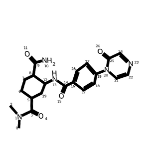 CN(C)C(=O)C1CCC(C(N)=O)C(NC(=O)c2ccc(-n3ccncc3=O)cc2)C1